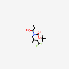 CCC(O)N(CC(C)CC(F)F)C(=O)OC(C)(C)C